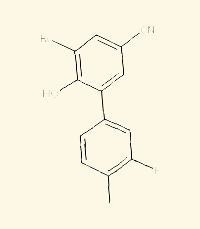 Cc1ccc(-c2cc(C#N)cc(Br)c2O)cc1F